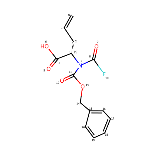 C=CC[C@@H](C(=O)O)N(C(=O)F)C(=O)OCc1ccccc1